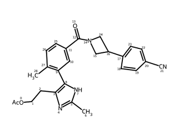 CC(=O)OCCc1nc(C)[nH]c1-c1cc(C(=O)N2CC(c3ccc(C#N)cc3)C2)ccc1C